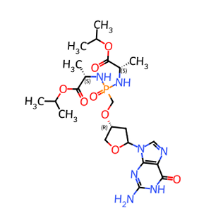 CC(C)OC(=O)[C@H](C)NP(=O)(CO[C@H]1COC(n2cnc3c(=O)[nH]c(N)nc32)C1)N[C@@H](C)C(=O)OC(C)C